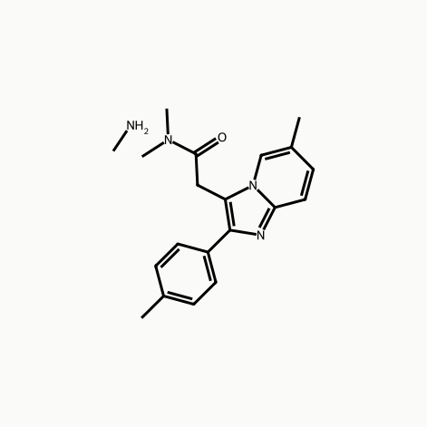 CN.Cc1ccc(-c2nc3ccc(C)cn3c2CC(=O)N(C)C)cc1